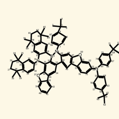 CC(C)(C)c1ccc(N2B3c4cc5c(cc4N(c4ccc6c(c4)C(C)(C)CCC6(C)C)c4c3c(cc3c4oc4ccccc43)-c3cc4c(cc32)oc2cc(N(c3ccc(C(C)(C)C)cc3)c3ccc(C(C)(C)C)cc3)ccc24)C(C)(C)CCC5(C)C)cc1